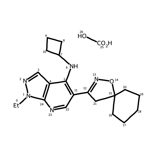 CCn1ncc2c(NC3CCC3)c(C3=NOC4(CCCCC4)C3)cnc21.O=C(O)O